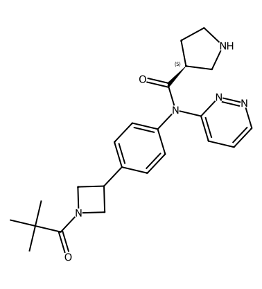 CC(C)(C)C(=O)N1CC(c2ccc(N(C(=O)[C@H]3CCNC3)c3cccnn3)cc2)C1